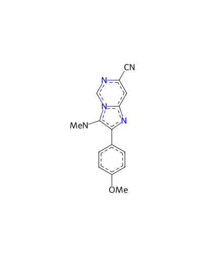 CNc1c(-c2ccc(OC)cc2)nc2cc(C#N)ncn12